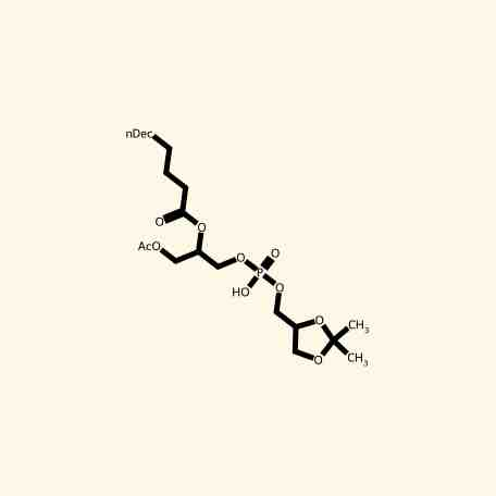 CCCCCCCCCCCCCC(=O)OC(COC(C)=O)COP(=O)(O)OCC1COC(C)(C)O1